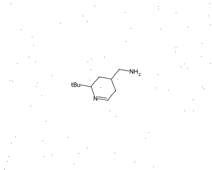 CC(C)(C)C1CC(CN)CC=N1